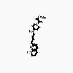 COC(=O)C(C)N1CCC(NCCCCc2ccc3c(n2)NCCC3)CC1